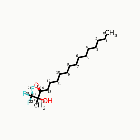 CCCCCCCCCCCCCCC(=O)C(C)(O)C(F)(F)F